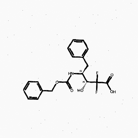 O=C(N[C@@H](Cc1ccccc1)[C@@H](O)C(F)(F)C(=O)O)OCc1ccccc1